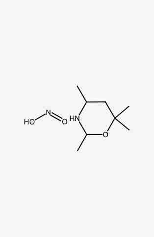 CC1CC(C)(C)OC(C)N1.O=NO